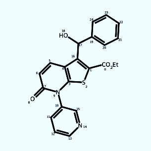 CCOC(=O)c1sc2c(ccc(=O)n2-c2cccnc2)c1C(O)c1ccccc1